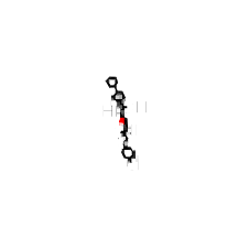 O=C(COc1ccc(Cl)c(F)c1)NC12CC(NC(O)c3ccc(-c4ccccc4)cn3)(C1)C2